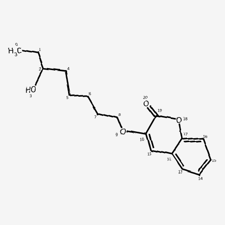 CCC(O)CCCCCOc1cc2ccccc2oc1=O